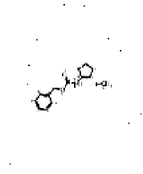 CO[C@H]1CCC[C@@H]1NC(=O)OCc1ccccc1